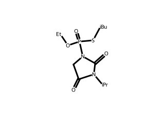 CCOP(=O)(SC(C)CC)N1CC(=O)N(C(C)C)C1=O